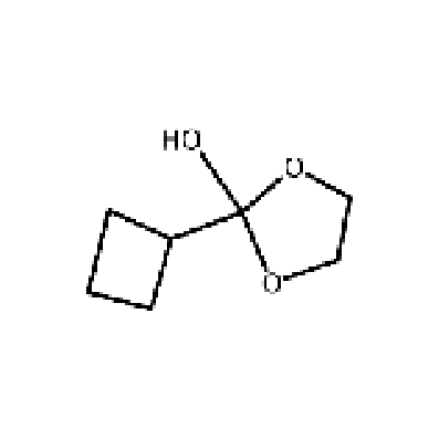 OC1(C2CCC2)OCCO1